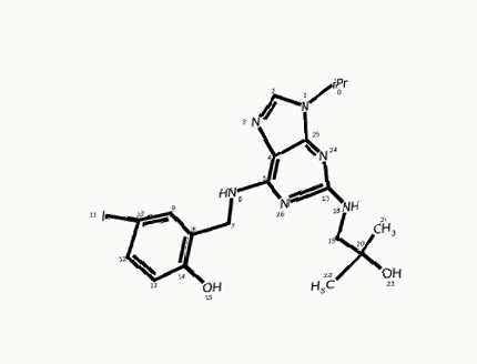 CC(C)n1cnc2c(NCc3cc(I)ccc3O)nc(NCC(C)(C)O)nc21